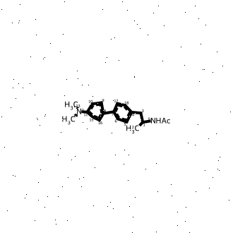 CC(=O)NC(C)Cc1ccc(-c2ccc(N(C)C)cc2)cc1